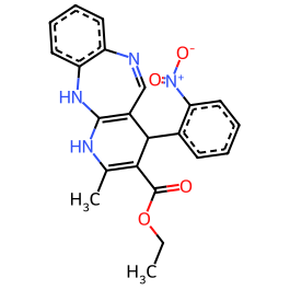 CCOC(=O)C1=C(C)NC2=C(C=Nc3ccccc3N2)C1c1ccccc1[N+](=O)[O-]